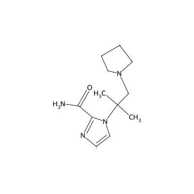 CC(C)(CN1CCCC1)n1c[c]nc1C(N)=O